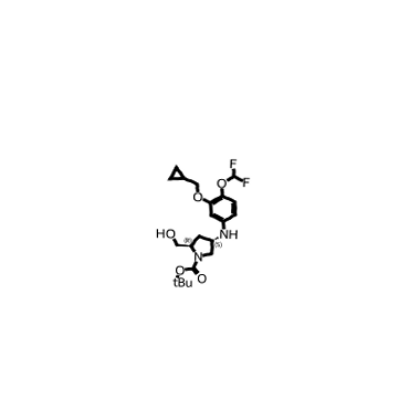 CC(C)(C)OC(=O)N1C[C@@H](Nc2ccc(OC(F)F)c(OCC3CC3)c2)C[C@@H]1CO